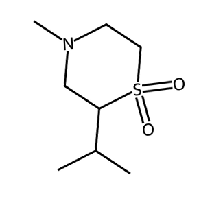 CC(C)C1CN(C)CCS1(=O)=O